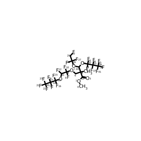 COC(=O)C(C)(COC(F)(F)C(F)OC(F)(F)C(F)(F)C(F)(F)F)C(OC(F)(F)CF)OC(F)(F)C(F)(F)C(F)(F)F